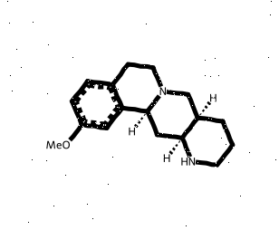 COc1ccc2c(c1)[C@@H]1C[C@@H]3NCCC[C@@H]3CN1CC2